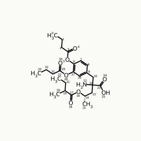 CCCC(=O)Oc1ccc(CC(N)(C[C@H](C)OC(=O)C(C)CC)C(=O)O)cc1OC(=O)CCC